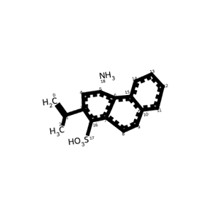 C=C(C)c1ccc2c(ccc3ccccc32)c1S(=O)(=O)O.N